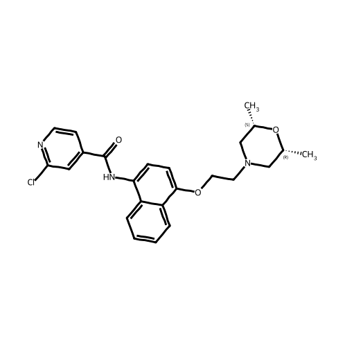 C[C@@H]1CN(CCOc2ccc(NC(=O)c3ccnc(Cl)c3)c3ccccc23)C[C@H](C)O1